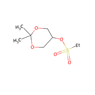 CCS(=O)(=O)OC1COC(C)(C)OC1